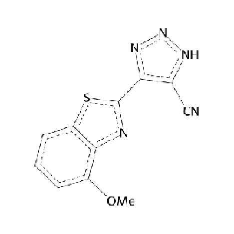 COc1cccc2sc(-c3nn[nH]c3C#N)nc12